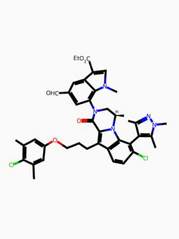 CCOC(=O)c1cn(C)c2c(N3C[C@@H](C)n4c(c(CCCOc5cc(C)c(Cl)c(C)c5)c5ccc(Cl)c(-c6c(C)nn(C)c6C)c54)C3=O)cc(C=O)cc12